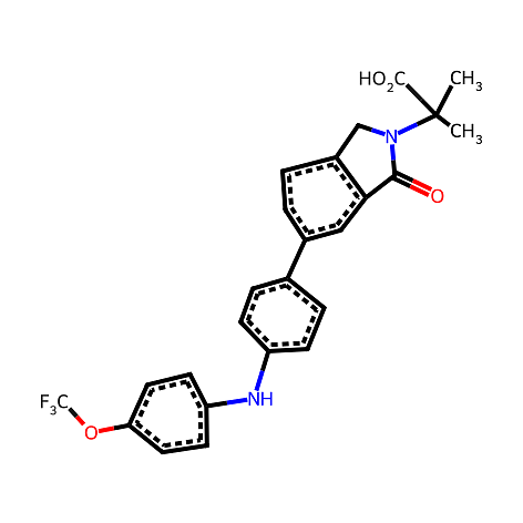 CC(C)(C(=O)O)N1Cc2ccc(-c3ccc(Nc4ccc(OC(F)(F)F)cc4)cc3)cc2C1=O